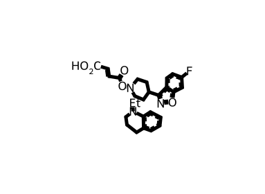 CCN1CCCc2ccccc21.O=C(O)/C=C/C(=O)ON1CCC(c2noc3cc(F)ccc23)CC1